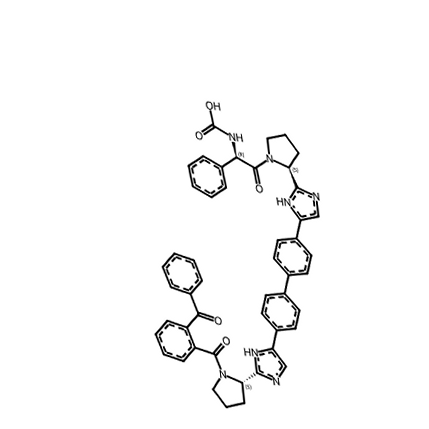 O=C(O)N[C@@H](C(=O)N1CCC[C@H]1c1ncc(-c2ccc(-c3ccc(-c4cnc([C@@H]5CCCN5C(=O)c5ccccc5C(=O)c5ccccc5)[nH]4)cc3)cc2)[nH]1)c1ccccc1